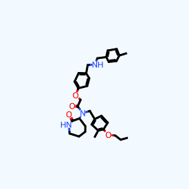 CCCOc1ccc(CN(C(=O)COc2ccc(CNCc3ccc(C)cc3)cc2)[C@H]2CCCCNC2=O)cc1C